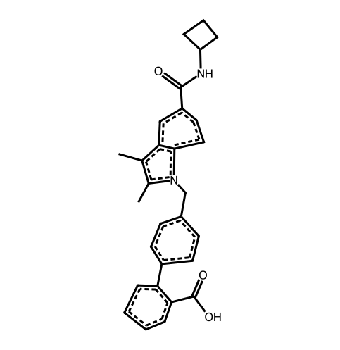 Cc1c(C)n(Cc2ccc(-c3ccccc3C(=O)O)cc2)c2ccc(C(=O)NC3CCC3)cc12